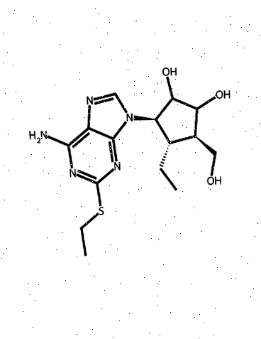 CCSc1nc(N)c2ncn([C@H]3C(O)C(O)[C@@H](CO)[C@@H]3CC)c2n1